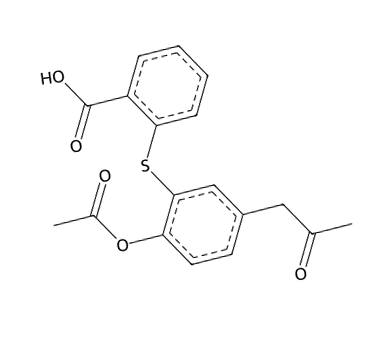 CC(=O)Cc1ccc(OC(C)=O)c(Sc2ccccc2C(=O)O)c1